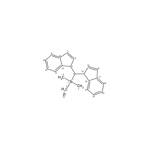 C[Si](C)(C)C(C1C=Cc2ccccc21)C1C=Cc2ccccc21.[Zr]